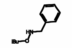 CCC(C)ONCc1ccccc1